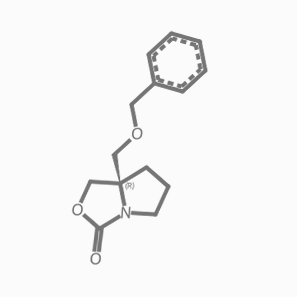 O=C1OC[C@]2(COCc3ccccc3)CCCN12